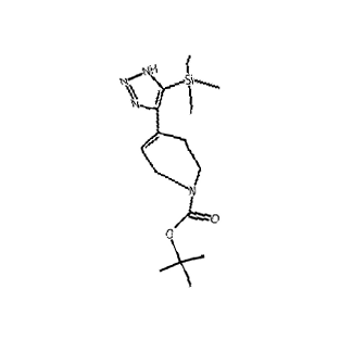 CC(C)(C)OC(=O)N1CC=C(c2nn[nH]c2[Si](C)(C)C)CC1